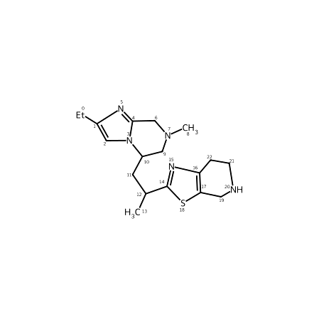 CCc1cn2c(n1)CN(C)CC2CC(C)c1nc2c(s1)CNCC2